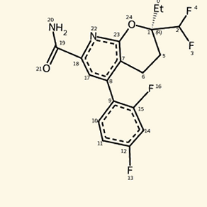 CC[C@]1(C(F)F)CCc2c(-c3ccc(F)cc3F)cc(C(N)=O)nc2O1